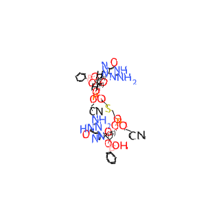 N#CCCOP(OCCSCCOP(OCCC#N)OC[C@H]1O[C@@H](n2cnc3c(=O)[nH]c(N)nc32)[C@@H]2OB(c3ccccc3)O[C@@H]21)OC[C@@H]1CC(OB(O)c2ccccc2)[C@H](n2cnc3c(=O)[nH]c(N)nc32)O1